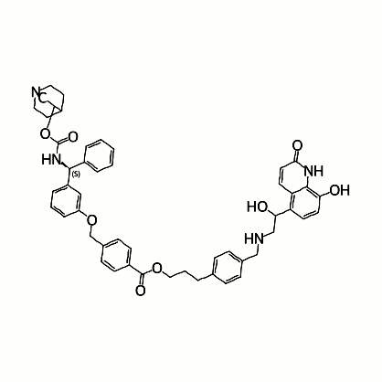 O=C(N[C@@H](c1ccccc1)c1cccc(OCc2ccc(C(=O)OCCCc3ccc(CNCC(O)c4ccc(O)c5[nH]c(=O)ccc45)cc3)cc2)c1)OC1CN2CCC1CC2